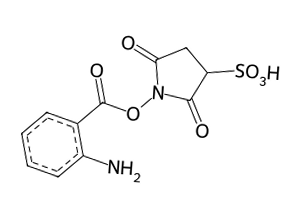 Nc1ccccc1C(=O)ON1C(=O)CC(S(=O)(=O)O)C1=O